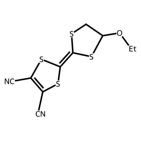 CCOC1CSC(=C2SC(C#N)=C(C#N)S2)S1